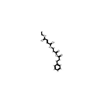 CCOC(=O)/C=C/C(=O)OCCC(=O)OC(=O)CCc1ccccc1